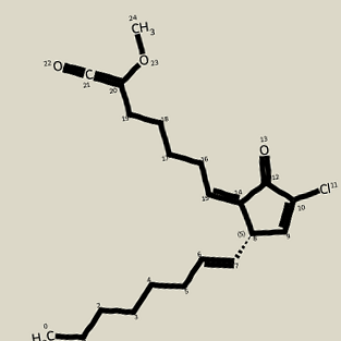 CCCCCCC=C[C@H]1C=C(Cl)C(=O)C1=CCCCCC(=C=O)OC